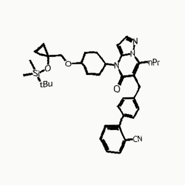 CCCc1c(Cc2ccc(-c3ccccc3C#N)cc2)c(=O)n(C2CCC(OCC3(O[Si](C)(C)C(C)(C)C)CC3)CC2)c2ccnn12